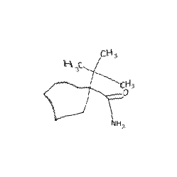 CC(C)(C)C1(C(N)=O)CCCC1